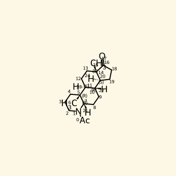 CC(=O)N1CCC[C@@]2(C)[C@@H]1CC[C@@H]1[C@@H]2CC[C@]2(C)C(=O)CC[C@@H]12